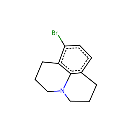 Brc1ccc2c3c1CCCN3CCC2